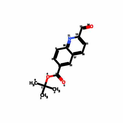 CC(C)(C)OC(=O)c1ccc2nc(C=O)ccc2c1